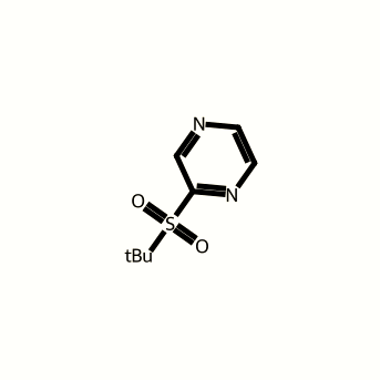 CC(C)(C)S(=O)(=O)c1cnccn1